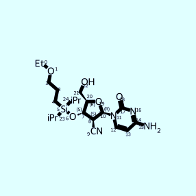 CCOCCC[Si](O[C@H]1[C@H](C#N)[C@H](n2ccc(N)nc2=O)O[C@@H]1CO)(C(C)C)C(C)C